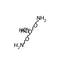 Cl.Cl.NCCOCCOCCOCCN